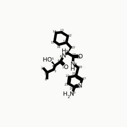 CC(C)C[C@@H](O)C(=O)N[C@@H](CC1CCCCC1)C(=O)NCc1ccc(N)nc1